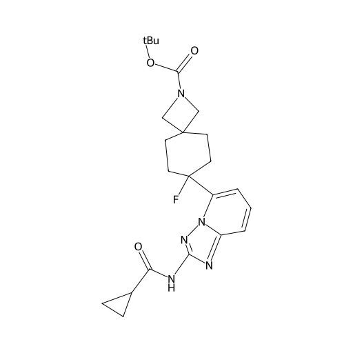 CC(C)(C)OC(=O)N1CC2(CCC(F)(c3cccc4nc(NC(=O)C5CC5)nn34)CC2)C1